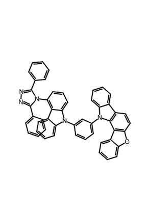 c1ccc(-c2nnc(-c3ccccc3)n2-c2cccc3c2c2ccccc2n3-c2cccc(-n3c4ccccc4c4ccc5oc6ccccc6c5c43)c2)cc1